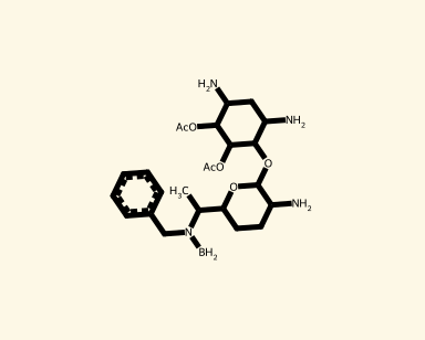 BN(Cc1ccccc1)C(C)C1CCC(N)C(OC2C(N)CC(N)C(OC(C)=O)C2OC(C)=O)O1